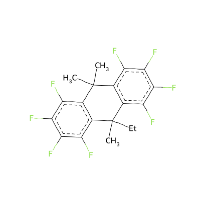 CCC1(C)c2c(F)c(F)c(F)c(F)c2C(C)(C)c2c(F)c(F)c(F)c(F)c21